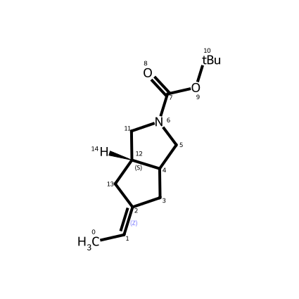 C/C=C1/CC2CN(C(=O)OC(C)(C)C)C[C@H]2C1